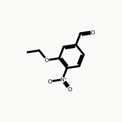 CCOc1cc([C]=O)ccc1[N+](=O)[O-]